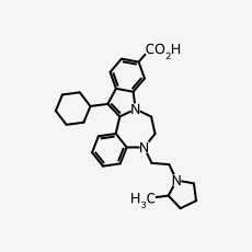 CC1CCCN1CCN1CCn2c(c(C3CCCCC3)c3ccc(C(=O)O)cc32)-c2ccccc21